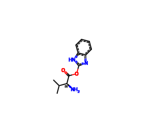 CC(C)[C@H](N)C(=O)Oc1nc2ccccc2[nH]1